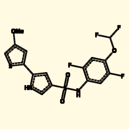 COc1csc(-c2cc(S(=O)(=O)Nc3cc(F)c(OC(F)F)cc3F)c[nH]2)c1